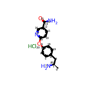 C[C@@H](N)Cc1ccc(Oc2ccc(C(N)=O)cn2)cc1.Cl